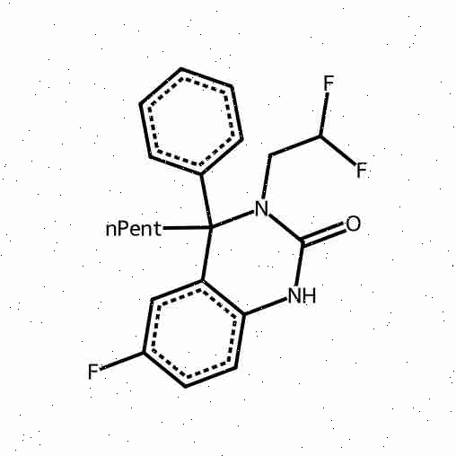 CCCCCC1(c2ccccc2)c2cc(F)ccc2NC(=O)N1CC(F)F